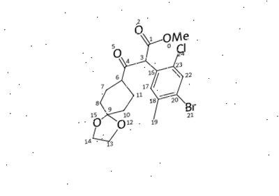 COC(=O)C(C(=O)C1CCC2(CC1)OCCO2)c1cc(C)c(Br)cc1Cl